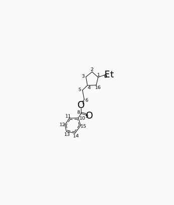 CCC1CCC(CCOC(=O)c2ccccc2)C1